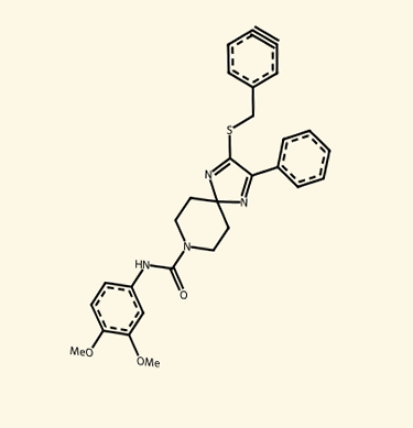 COc1ccc(NC(=O)N2CCC3(CC2)N=C(SCc2cc#ccc2)C(c2ccccc2)=N3)cc1OC